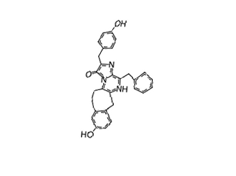 O=c1c(Cc2ccc(O)cc2)nc2c(Cc3ccccc3)[nH]c3c(n1-2)CCc1cc(O)ccc1C3